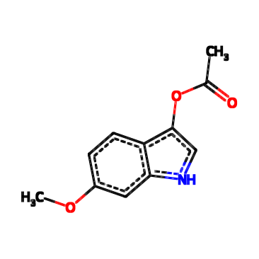 COc1ccc2c(OC(C)=O)c[nH]c2c1